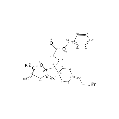 CC(C)CC=C1CCC2(CC1)SC(CC(=O)OC(C)(C)C)C(=O)N2CCC(=O)OCc1ccccc1